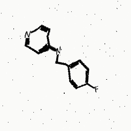 Fc1ccc(C[N]c2ccncc2)cc1